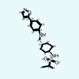 CC(C)S(=O)(=O)N[C@H]1CC[C@H](CNc2ccc(-c3ccno3)cc2)CC1